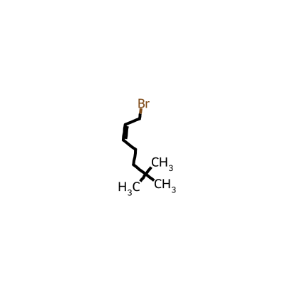 CC(C)(C)CC/C=C\CBr